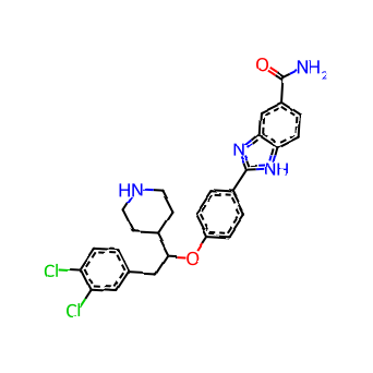 NC(=O)c1ccc2[nH]c(-c3ccc(OC(Cc4ccc(Cl)c(Cl)c4)C4CCNCC4)cc3)nc2c1